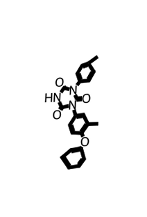 Cc1ccc(-n2c(=O)[nH]c(=O)n(-c3ccc(Oc4ccccc4)c(C)c3)c2=O)cc1